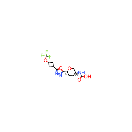 O=C(O)N[C@@H]1CC[C@@H](c2nnc(C3CC(OC(F)(F)F)C3)o2)OC1